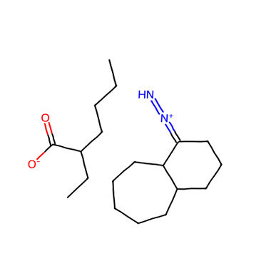 CCCCC(CC)C(=O)[O-].N=[N+]=C1CCCC2CCCCCC12